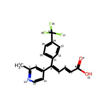 Cc1cc(C(=CC=CC(=O)O)c2ccc(C(F)(F)F)cc2)ccn1